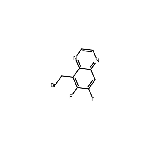 Fc1cc2nccnc2c(CBr)c1F